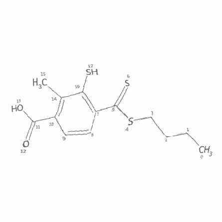 CCCCSC(=S)c1ccc(C(=O)O)c(C)c1S